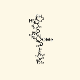 COc1cc2c(Oc3ccc4[nH]c(C)cc4c3)ncnc2cc1OCCCN1CCC2(COC2)C1